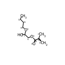 C=C(C)C(=O)OCC(O)OCCCC